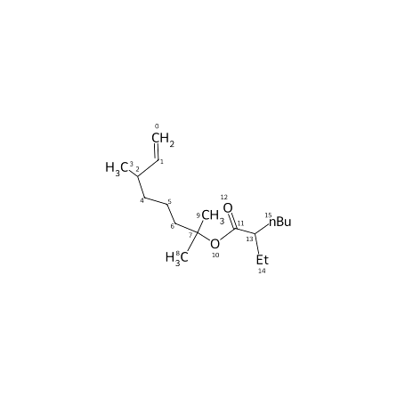 C=CC(C)CCCC(C)(C)OC(=O)C(CC)CCCC